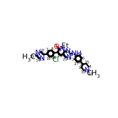 CCn1c(=O)c(-c2ccc(-c3cnc(C)cn3)cc2Cl)cc2cnc(Nc3ccc(C4CCN(C)CC4)cc3)nc21